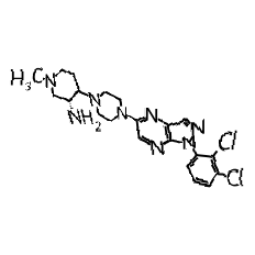 CN1CCC(N2CCN(c3cnc4c(cnn4-c4cccc(Cl)c4Cl)n3)CC2)[C@H](N)C1